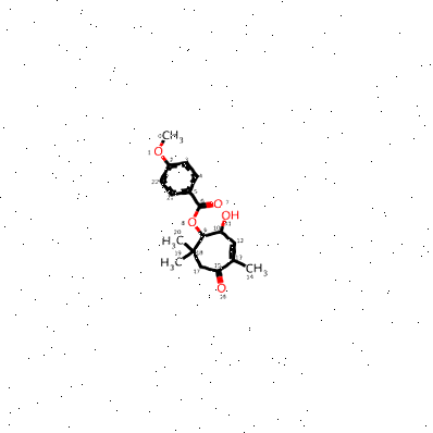 COc1ccc(C(=O)OC2C(O)C=C(C)C(=O)CC2(C)C)cc1